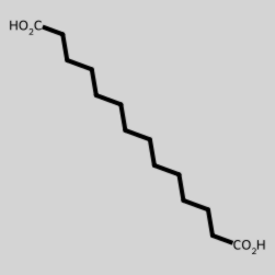 O=C(O)CCCCCCCCCCCCC(=O)O